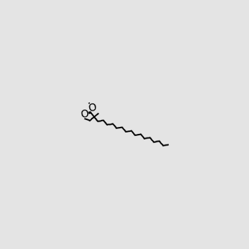 CCCCCCCCCCCCCCCCC(C)(CC)C(=O)OC